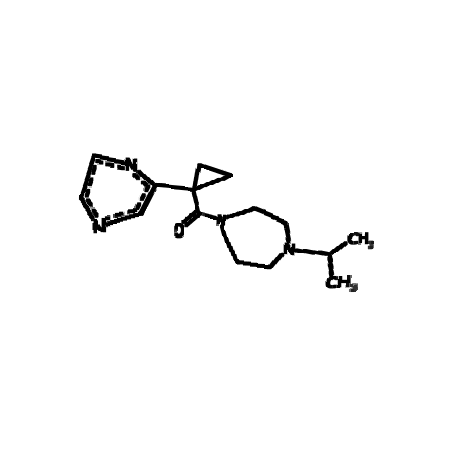 CC(C)N1CCN(C(=O)C2(c3cnccn3)CC2)CC1